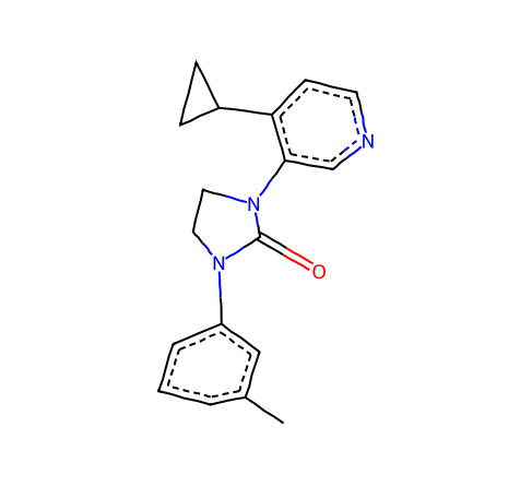 Cc1cccc(N2CCN(c3cnccc3C3CC3)C2=O)c1